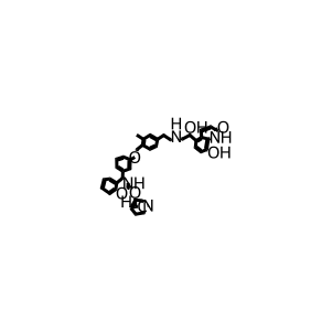 Cc1cc(CCNC[C@@H](O)c2ccc(O)c3[nH]c(=O)ccc23)ccc1COc1cccc(C(NC(=O)O[C@H]2CN3CCC2CC3)c2ccccc2)c1